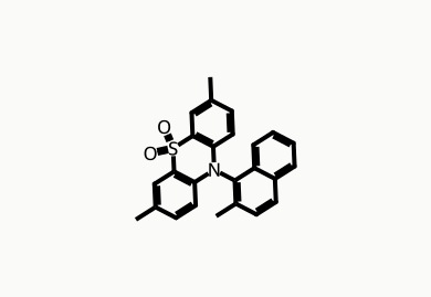 Cc1ccc2c(c1)S(=O)(=O)c1cc(C)ccc1N2c1c(C)ccc2ccccc12